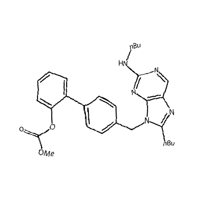 CCCCNc1ncc2nc(CCCC)n(Cc3ccc(-c4ccccc4OC(=O)OC)cc3)c2n1